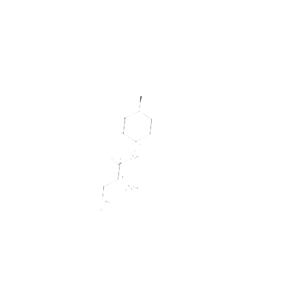 C[C@H]1CC[C@H](NC(=O)[C@H](N)CO)CC1